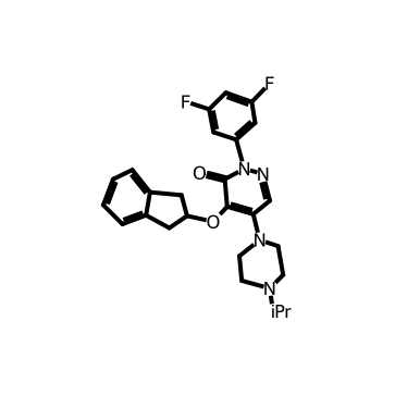 CC(C)N1CCN(c2cnn(-c3cc(F)cc(F)c3)c(=O)c2OC2Cc3ccccc3C2)CC1